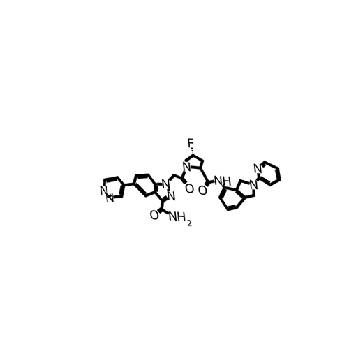 NC(=O)c1nn(CC(=O)N2C[C@H](F)CC2C(=O)Nc2cccc3c2CN(c2ccccn2)C3)c2ccc(-c3ccnnc3)cc12